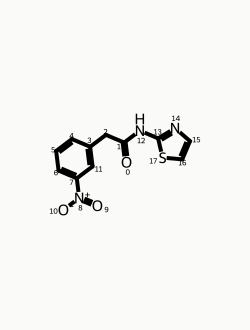 O=C(Cc1cccc([N+](=O)[O-])c1)Nc1nccs1